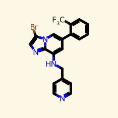 FC(F)(F)c1ccccc1-c1cc(NCc2ccncc2)c2ncc(Br)n2c1